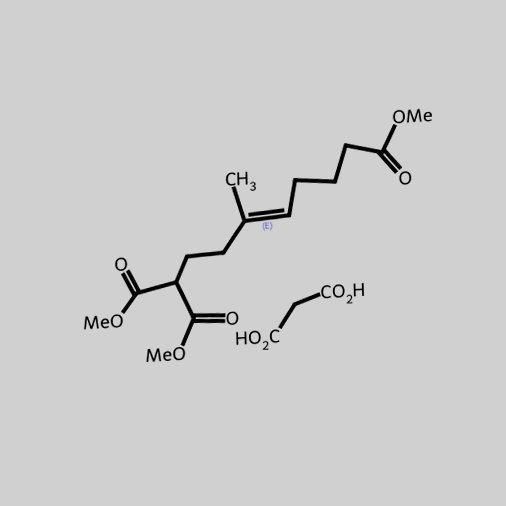 COC(=O)CCC/C=C(\C)CCC(C(=O)OC)C(=O)OC.O=C(O)CC(=O)O